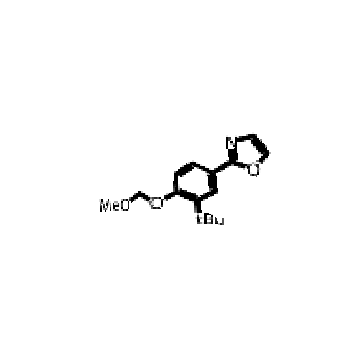 COCOc1ccc(-c2ncco2)cc1C(C)(C)C